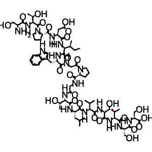 CC[C@H](C)[C@H](NC(=O)[C@H](CC(=O)O)NC(=O)[C@@H]1CCCN1C(=O)[C@@H](NC(=O)[C@@H](N)CO)[C@@H](C)O)C(=O)N[C@@H](Cc1c[nH]c2ccccc12)C(=O)NCC(=O)N1CCC[C@H]1C(=O)NCC(=O)N[C@H](C(=O)N[C@@H](CC(C)C)C(=O)N[C@H](C(=O)N[C@H](C(=O)N[C@H](C(=O)N[C@@H](CO)C(=O)N[C@@H](CO)C(=O)O)C(C)C)[C@@H](C)O)C(C)C)[C@@H](C)O